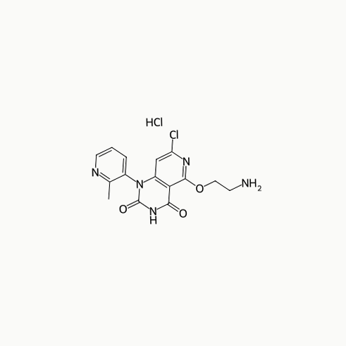 Cc1ncccc1-n1c(=O)[nH]c(=O)c2c(OCCN)nc(Cl)cc21.Cl